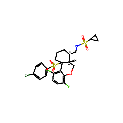 O=S(=O)(NC[C@@H]1CCCC2(S(=O)(=O)c3ccc(Cl)cc3)c3c(F)ccc(F)c3OC[C@@H]12)C1CC1